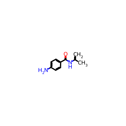 C=C(C)NC(=O)c1ccc(N)cc1